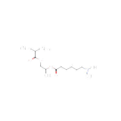 CCCCCCCCCC(CCCCCCCCC)C(=O)OCC(C)OC(=O)CCCCCN(C)C